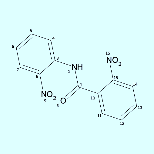 O=C(Nc1ccccc1[N+](=O)[O-])c1ccccc1[N+](=O)[O-]